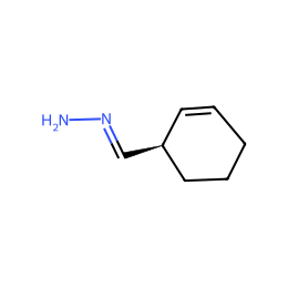 NN=C[C@H]1C=CCCC1